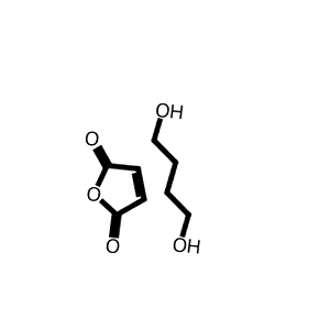 O=C1C=CC(=O)O1.OCCCCO